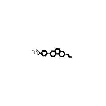 CC=C[C@H]1CCc2c(ccc3c2CC[C@H](c2ccc(OC(F)(F)F)cc2)C3)C1